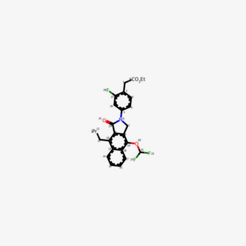 CCOC(=O)Cc1ccc(N2Cc3c(c(CC(C)C)c4ccccc4c3OC(F)F)C2=O)cc1F